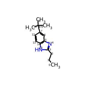 CCCc1nc2cc(C(C)(C)C)ccc2[nH]1